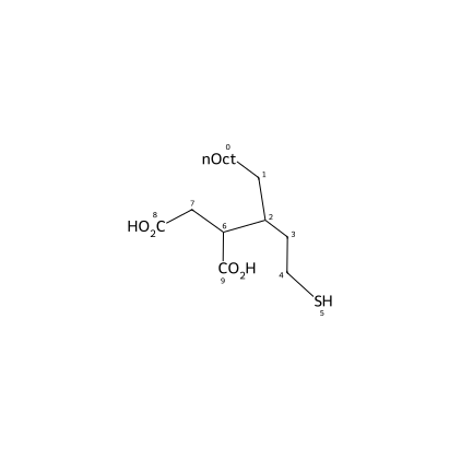 CCCCCCCCCC(CCS)C(CC(=O)O)C(=O)O